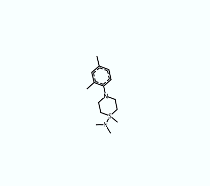 Cc1ccc(N2CCS(C)(N(C)C)CC2)c(C)c1